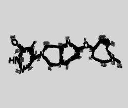 Cc1c(N2Cc3ccc(OC4CCN(C)CC4)nc3C2)cn[nH]c1=O